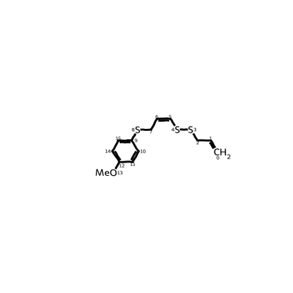 C=CCSS/C=C\CSc1ccc(OC)cc1